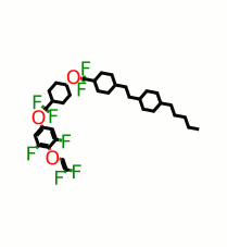 CCCCCC1CCC(CCC2CCC(C(F)(F)OC3CCC(C(F)(F)Oc4cc(F)c(OC=C(F)F)c(F)c4)CC3)CC2)CC1